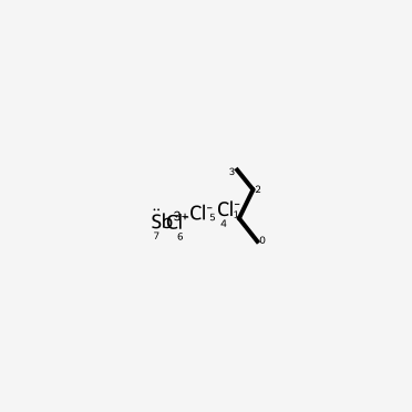 CCCC.[Cl-].[Cl-].[Cl-].[Sb+3]